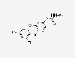 CCNC(=O)Nc1ccc(Sc2ccc(Cl)cc2Cl)c(Cl)c1